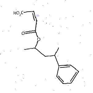 CC(CC(C)c1ccccc1)OC(=O)/C=C\C(=O)O